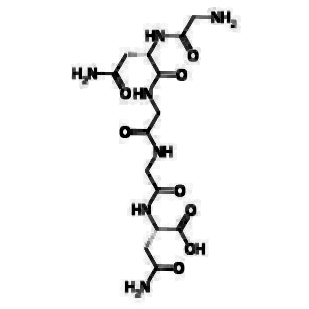 NCC(=O)N[C@@H](CC(N)=O)C(=O)NCC(=O)NCC(=O)N[C@@H](CC(N)=O)C(=O)O